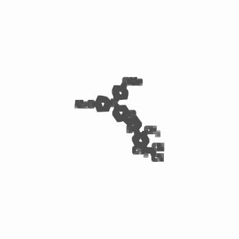 COc1ccc(N(c2ccc(OC)cc2)c2ccc3c(c2)oc2cc(-c4cc(C)c(C=C(C#N)C#N)cc4C)sc23)cc1